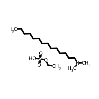 CCCCCCCCCCCCCCN(C)C.CCOS(=O)(=O)O